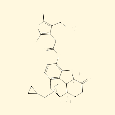 Cc1sc(C)c(CC(=O)Oc2ccc3c4c2O[C@H]2C(=O)CC[C@@]5(O)[C@@H](C3)N(CC3CC3)CC[C@]425)c1CC(=O)O